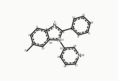 Cc1ccc2nc(-c3ccccc3)n(-c3cccnc3)c2c1